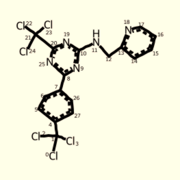 ClC(Cl)(Cl)c1ccc(-c2nc(NCc3ccccn3)nc(C(Cl)(Cl)Cl)n2)cc1